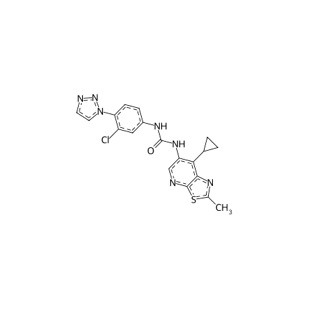 Cc1nc2c(C3CC3)c(NC(=O)Nc3ccc(-n4ccnn4)c(Cl)c3)cnc2s1